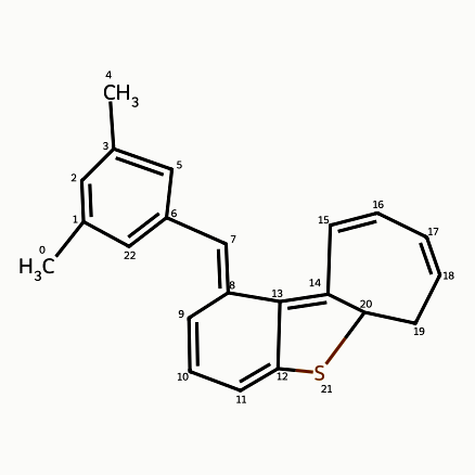 Cc1cc(C)cc(C=c2cccc3c2=C2C=CC=CCC2S3)c1